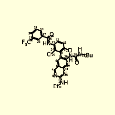 CCNc1ncc2cc(-c3c(Cl)ccc(NC(=O)c4cccc(C(F)(F)F)c4)c3Cl)c(NC(=O)NC(C)(C)C)nc2n1